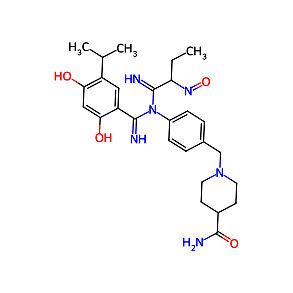 CCC(N=O)C(=N)N(C(=N)c1cc(C(C)C)c(O)cc1O)c1ccc(CN2CCC(C(N)=O)CC2)cc1